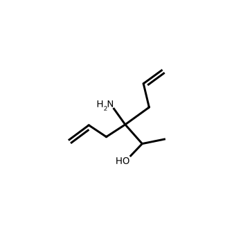 C=CCC(N)(CC=C)C(C)O